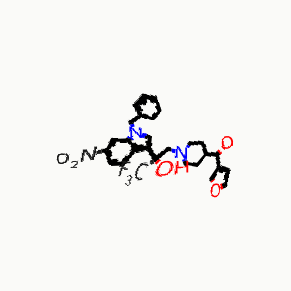 O=C(c1ccoc1)C1CCN(CC(O)(c2cn(Cc3ccccc3)c3cc([N+](=O)[O-])ccc23)C(F)(F)F)CC1